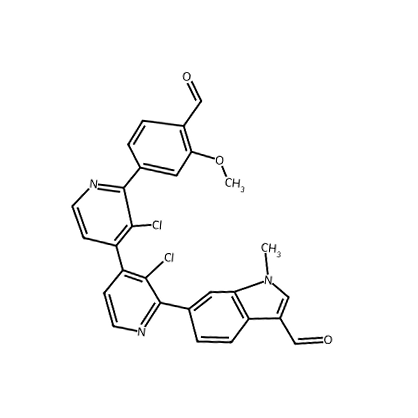 COc1cc(-c2nccc(-c3ccnc(-c4ccc5c(C=O)cn(C)c5c4)c3Cl)c2Cl)ccc1C=O